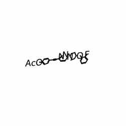 CC(=O)Oc1ccc(C#Cc2ccc(N3CCC(Oc4ccccc4F)CC3)nn2)cc1